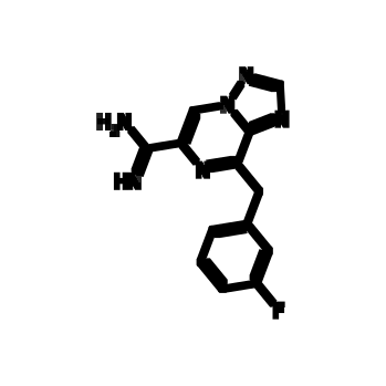 N=C(N)c1cn2ncnc2c(Cc2cccc(F)c2)n1